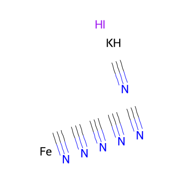 C#N.C#N.C#N.C#N.C#N.C#N.I.[Fe].[KH]